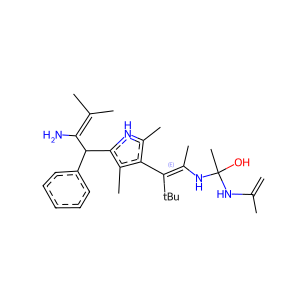 C=C(C)NC(C)(O)N/C(C)=C(/c1c(C)[nH]c(C(C(N)=C(C)C)c2ccccc2)c1C)C(C)(C)C